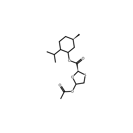 CC(=O)OC1CS[C@H](C(=O)OC2C[C@H](C)CCC2C(C)C)O1